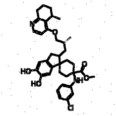 COC(=O)C1(Nc2cccc(Cl)c2)CCC2(CC1)c1cc(O)c(O)cc1CC2C[C@@H](C)COc1ccnc2c1[C@H](C)CCC2